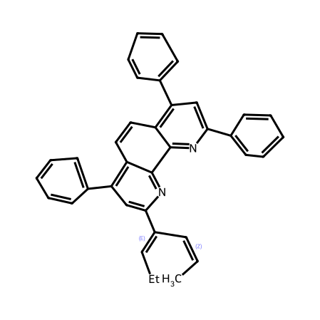 C/C=C\C(=C/CC)c1cc(-c2ccccc2)c2ccc3c(-c4ccccc4)cc(-c4ccccc4)nc3c2n1